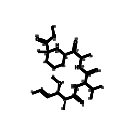 CC=C[C@@H](OC)[C@@H](C)C(=O)NC(C(=O)NC(C)C(=O)N1CCCC(C)(C(=O)OC)N1)C(C)C